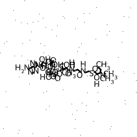 C[C@@H]1C[C@H](N(C)C)[C@@H](O)[C@H](SCCNC(=O)CCNC(=O)[C@H](O)C(C)(C)COP(=O)(O)OP(=O)(O)OC[C@H]2O[C@@H](n3cnc4c(N)ncnc43)[C@H](O)[C@@H]2OP(=O)(O)O)O1